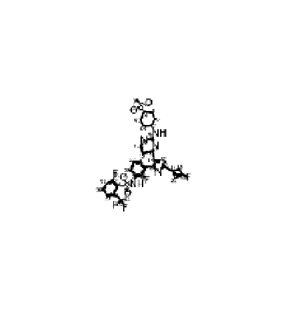 CS(=O)(=O)[C@H]1CC[C@@H](Nc2nccc(-c3sc(C45CC(F)(C4)C5)nc3-c3cccc(NS(=O)(=O)c4c(F)cccc4C(F)(F)F)c3F)n2)CC1